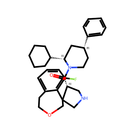 O=C([C@@H]1CNCC12COCCc1cccc(F)c12)N1CC[C@@H](c2ccccc2)C[C@H]1C1CCCCC1